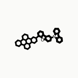 c1cc(C2CCC3C(C2)C2CCCC4C5CCCCC5C5CCCC3C5C42)c2oc3ccc(-n4c5ccccc5c5ccccc54)cc3c2c1